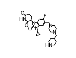 O=C1CCC(n2c(=O)n(C3CC3)c3cc(CN4CCN(CC5CCNCC5)CC4)c(F)cc32)C(=O)N1